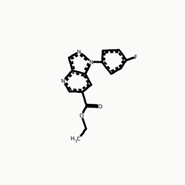 CCOC(=O)c1cnc2cnn(-c3ccc(F)cc3)c2c1